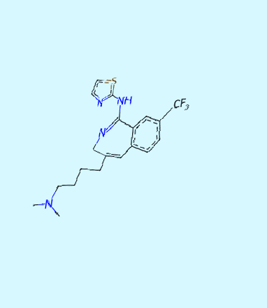 CN(C)CCCCC1=Cc2ccc(C(F)(F)F)cc2C(Nc2nccs2)=NC1